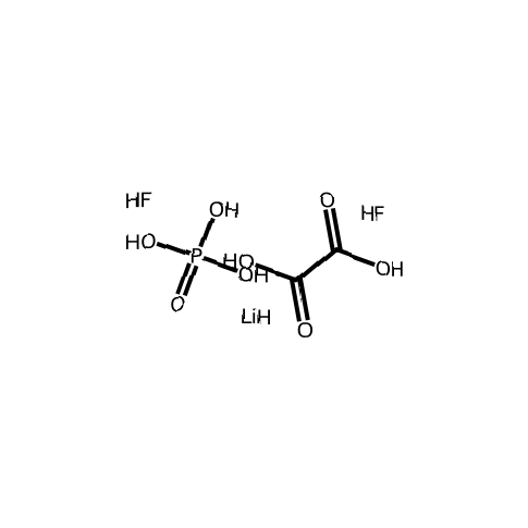 F.F.O=C(O)C(=O)O.O=P(O)(O)O.[LiH]